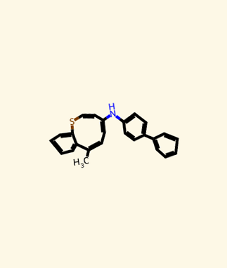 Cc1ccc(Nc2ccc(-c3ccccc3)cc2)ccsc2ccccc12